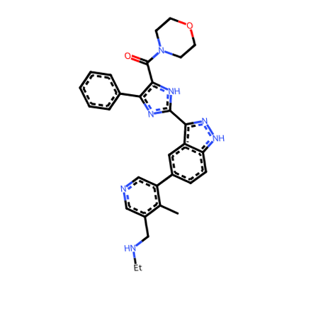 CCNCc1cncc(-c2ccc3[nH]nc(-c4nc(-c5ccccc5)c(C(=O)N5CCOCC5)[nH]4)c3c2)c1C